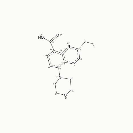 CCc1ccc2c(N3CCOCC3)ccc(C(=O)O)c2n1